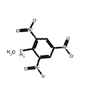 Cc1c([N+](=O)[O-])cc([N+](=O)[O-])cc1[N+](=O)[O-].O